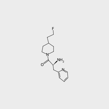 N[C@@H](Cc1ccccn1)C(=O)N1CCC(CCF)CC1